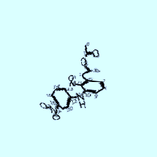 CC(=O)OCCc1cccc(Nc2cccc([N+](=O)[O-])c2)c1N=O